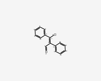 O=CC(=C(Cl)c1ccccc1)c1ccccc1